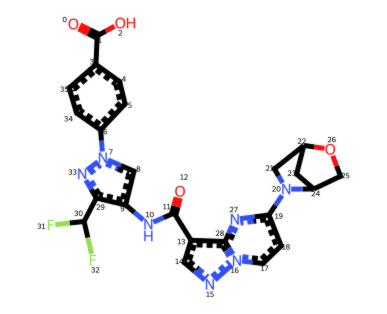 O=C(O)c1ccc(-n2cc(NC(=O)c3cnn4ccc(N5CC6CC5CO6)nc34)c(C(F)F)n2)cc1